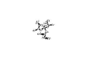 CCNN(CC)[O][Ti]([OH])([O]N(CC)NCC)[O]N(CC)NCC